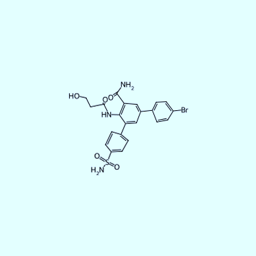 NC(=O)c1cc(-c2ccc(Br)cc2)cc(-c2ccc(S(N)(=O)=O)cc2)c1NC(=O)CCO